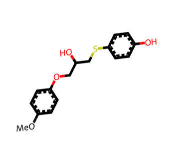 COc1ccc(OCC(O)CSc2ccc(O)cc2)cc1